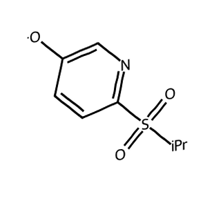 CC(C)S(=O)(=O)c1ccc([O])cn1